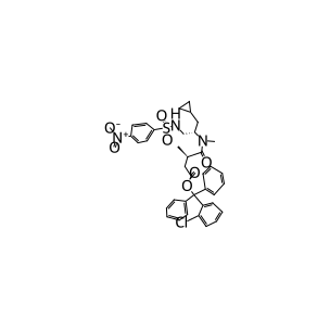 C[C@H](CC(=O)OC(c1ccccc1)(c1ccccc1)c1ccccc1Cl)C(=O)N(C)[C@H](CNS(=O)(=O)c1ccc([N+](=O)[O-])cc1)CC1CC1